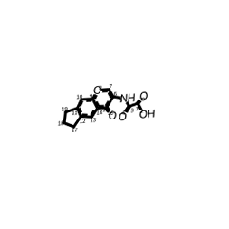 O=C(O)C(=O)Nc1coc2cc3c(cc2c1=O)CCC3